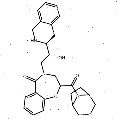 O=C1c2ccccc2OC(C(=O)N2C3CCC2COC3)CN1C[C@@H](O)[C@@H]1Cc2ccccc2CN1